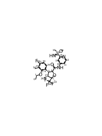 CCOc1c([C@H]2C(C(=O)Nc3ccnc(S(C)(=N)=O)c3)O[C@@](C)(C(F)(F)F)[C@H]2C)ccc(F)c1C